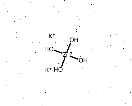 [K+].[K+].[OH][Zn-2]([OH])([OH])[OH]